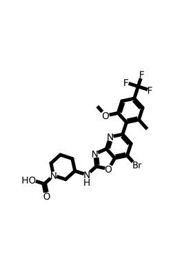 COc1cc(C(F)(F)F)cc(C)c1-c1cc(Br)c2oc(NC3CCCN(C(=O)O)C3)nc2n1